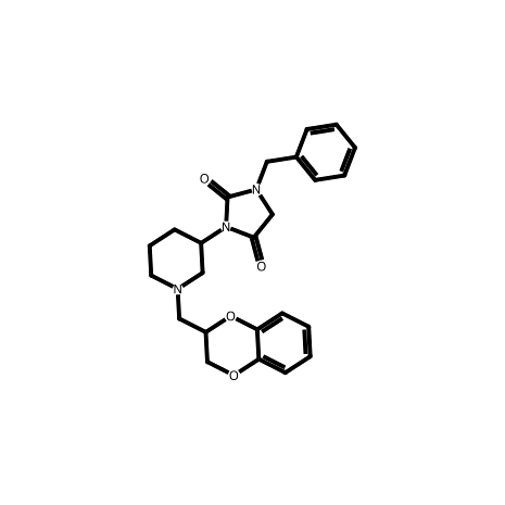 O=C1CN(Cc2ccccc2)C(=O)N1C1CCCN(CC2COc3ccccc3O2)C1